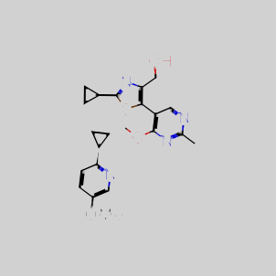 COc1ccc([C@H]2C[C@@H]2COc2nc(C)ncc2-c2sc(C3CC3)nc2CO)nc1